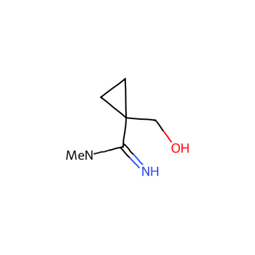 CNC(=N)C1(CO)CC1